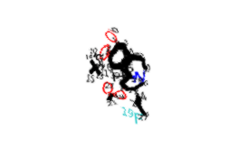 COc1cc2c(cc1O[Si](C)(C)C(C)(C)C)[C@@H]1CC(OC(C)=O)[C@@H](CCC[19F])CN1CC2